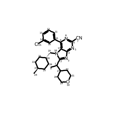 CC(c1nc2nc(C#N)nc(-c3cccc(Cl)c3)c2n1C[C@H]1CC[C@H](C)CC1)C1CCOCC1